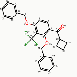 O=C(c1ccc(OCc2ccccc2)c(C(F)(F)F)c1OCc1ccccc1)C1CCC1